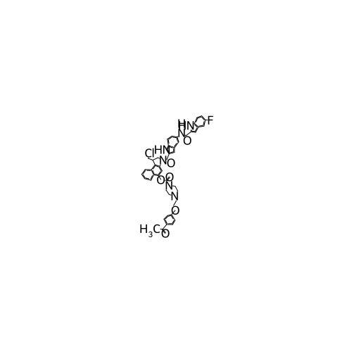 CC(=O)c1ccc(OCCN2CCN(C(=O)Oc3cc4c(c5ccccc35)C(CCl)CN4C(=O)c3cc4cc(NC(=O)c5cc6cc(F)ccc6[nH]5)ccc4[nH]3)CC2)cc1